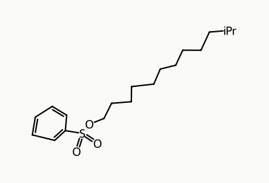 CC(C)CCCCCCCCCCOS(=O)(=O)c1ccccc1